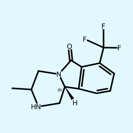 CC1CN2C(=O)c3c(cccc3C(F)(F)F)[C@@H]2CN1